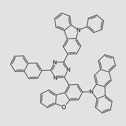 c1ccc(-n2c3ccccc3c3cc(-c4nc(-c5ccc6ccccc6c5)nc(-c5cc(-n6c7ccccc7c7cc8ccccc8cc76)cc6oc7ccccc7c56)n4)ccc32)cc1